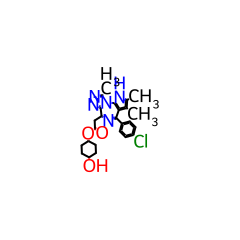 Cc1[nH]c2c(c1C)C(c1ccc(Cl)cc1)=NC(CC(=O)OC1CCC(O)CC1)c1nnc(C)n1-2